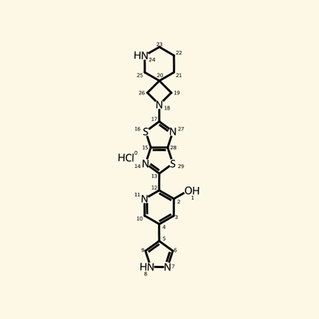 Cl.Oc1cc(-c2cn[nH]c2)cnc1-c1nc2sc(N3CC4(CCCNC4)C3)nc2s1